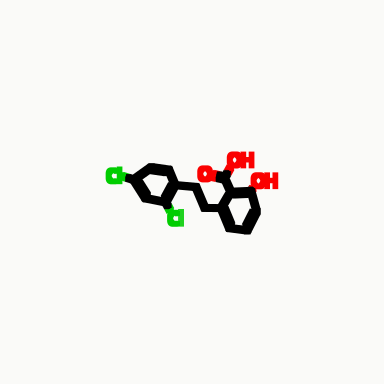 O=C(O)c1c(O)cccc1CCc1ccc(Cl)cc1Cl